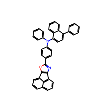 c1ccc(-c2ccc(N(c3ccccc3)c3ccc(-c4nc5c(o4)-c4cccc6cccc-5c46)cc3)c3ccccc23)cc1